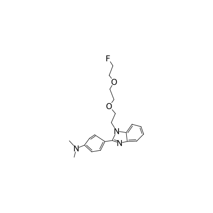 CN(C)c1ccc(-c2nc3ccccc3n2CCOCCOCCF)cc1